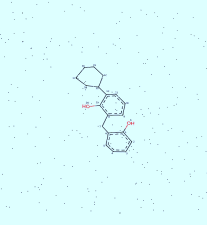 Oc1ccccc1Cc1cccc(C2CCCCC2)c1O